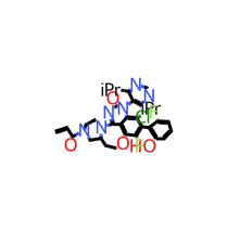 C=CC(=O)N1CCN2c3nc(=O)n(-c4c(C(C)C)ncnc4C(C)C)c4c(Cl)c(-c5c(O)cccc5F)c(F)c(c34)OCCC2C1